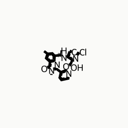 Cc1cc([C@@H](C)Nc2ccc(Cl)nc2C(=O)O)c2nc(-c3cccnc3)n(C)c(=O)c2c1